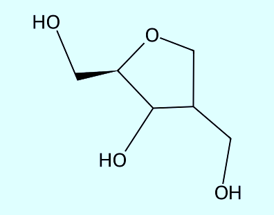 OCC1CO[C@H](CO)C1O